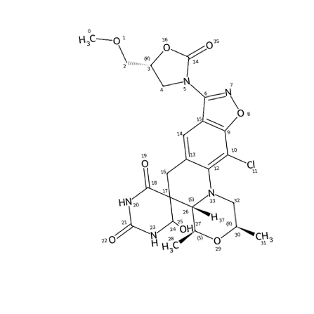 COC[C@H]1CN(c2noc3c(Cl)c4c(cc23)CC2(C(=O)NC(=O)NC2O)[C@H]2[C@H](C)O[C@H](C)CN42)C(=O)O1